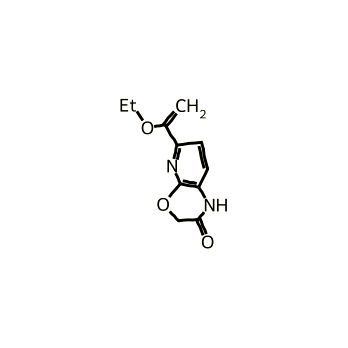 C=C(OCC)c1ccc2c(n1)OCC(=O)N2